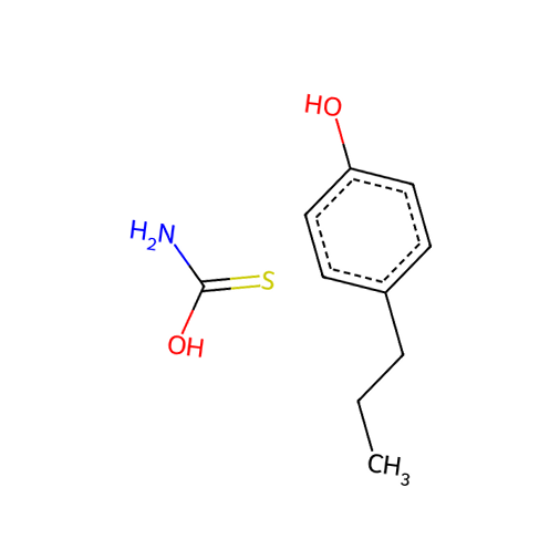 CCCc1ccc(O)cc1.NC(O)=S